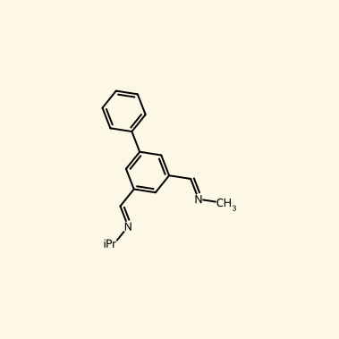 C/N=C/c1cc(/C=N/C(C)C)cc(-c2ccccc2)c1